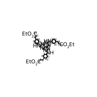 CCOC(=O)C=Cc1ccc(NC2=NC3=NC(Nc4ccc(C=CC(=O)OCC)cc4)=NC4=NC(Nc5ccc(C=CC(=O)OCC)cc5)=NC(=N2)N34)cc1